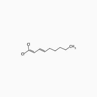 CCCCC/C=C/C=C(Cl)Cl